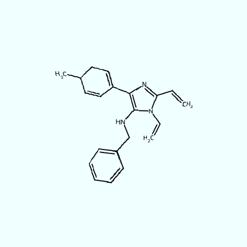 C=Cc1nc(C2=CCC(C)C=C2)c(NCc2ccccc2)n1C=C